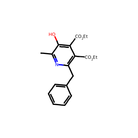 CCOC(=O)c1c(Cc2ccccc2)nc(C)c(O)c1C(=O)OCC